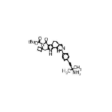 CC(C)(N)C#Cc1ccc(-c2ncc3c(n2)-c2[nH]c4c(c2CC3)C(=O)N(C(=O)OC(C)(C)C)C2(CCC2)C4)cc1